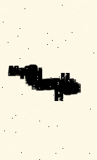 COC(=O)NC(C)C(=O)N1CCC[C@H]1c1nc2ccc(-c3ccc(-c4ccc5nc([C@H](C)NC(=O)[C@@H](c6ccccc6)N(C)C)[nH]c5c4)cc3)cc2[nH]1